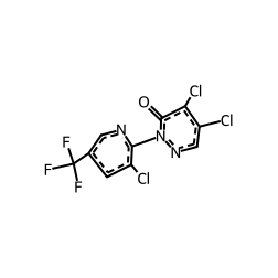 O=c1c(Cl)c(Cl)cnn1-c1ncc(C(F)(F)F)cc1Cl